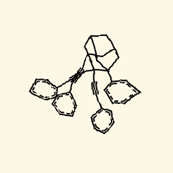 C(#CC12CC3CC(C1)CC(c1ccccc1)(C3)C2(C#Cc1ccccc1)C#Cc1ccccc1)c1ccccc1